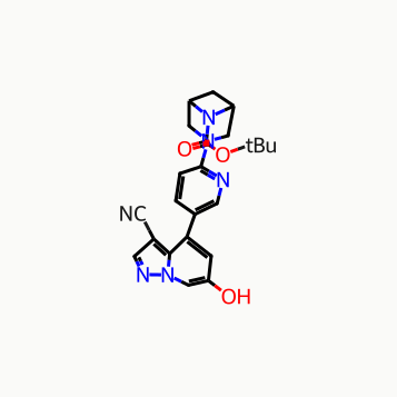 CC(C)(C)OC(=O)N1C2CC1CN(c1ccc(-c3cc(O)cn4ncc(C#N)c34)cn1)C2